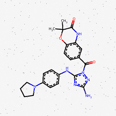 CC1(C)Oc2ccc(C(=O)n3nc(N)nc3Nc3ccc(N4CCCC4)cc3)cc2NC1=O